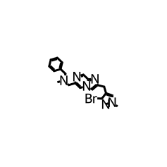 CN(Cc1ccccc1)Cc1cn2cc(Cc3cn(C)nc3Br)nc2cn1